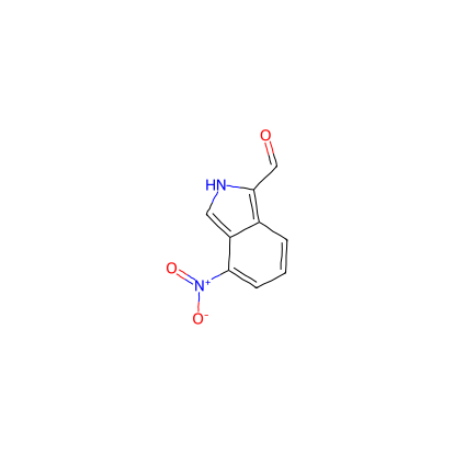 O=Cc1[nH]cc2c([N+](=O)[O-])cccc12